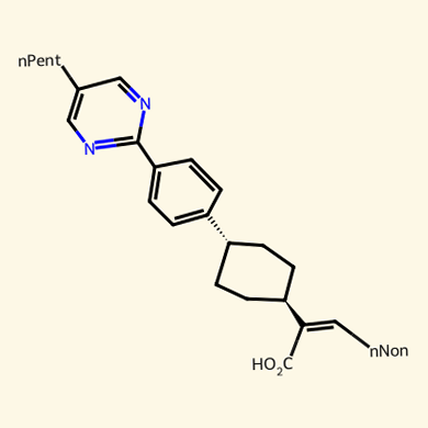 CCCCCCCCCC=C(C(=O)O)[C@H]1CC[C@H](c2ccc(-c3ncc(CCCCC)cn3)cc2)CC1